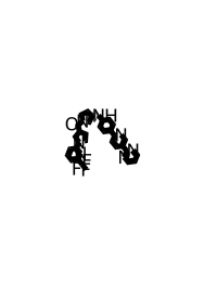 O=C(C1CCN(c2cccc(C(F)(F)F)n2)C1)N1CC[C@H](NC2CC=C(c3ccc(-c4ncccn4)cn3)CC2)C1